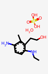 CCNc1ccc(N)c(C)c1CCO.O.O=S(=O)(O)O